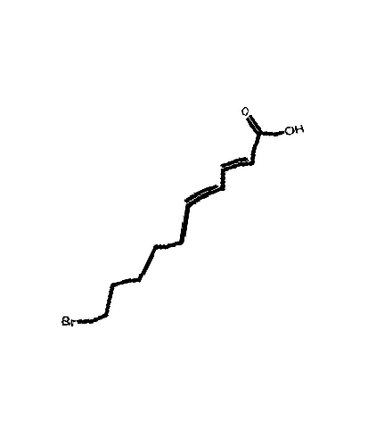 O=C(O)/C=C/C=C/CCCCCBr